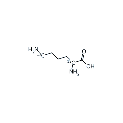 N[13CH2]CCC[13CH](N)C(=O)O